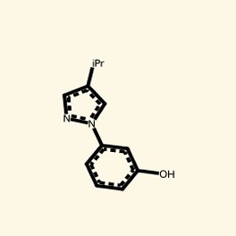 CC(C)c1cnn(-c2cccc(O)c2)c1